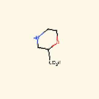 O=C(O)[C]1CNCCO1